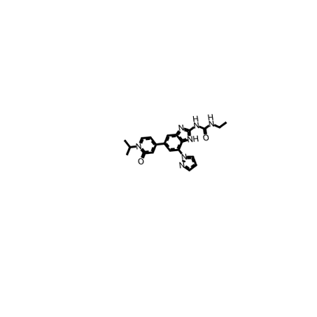 CCNC(=O)Nc1nc2cc(-c3ccn(C(C)C)c(=O)c3)cc(-n3cccn3)c2[nH]1